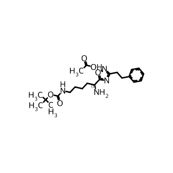 CC(=O)O.CC(C)(C)OC(=O)NCCCC[C@H](N)c1nc(CCc2ccccc2)no1